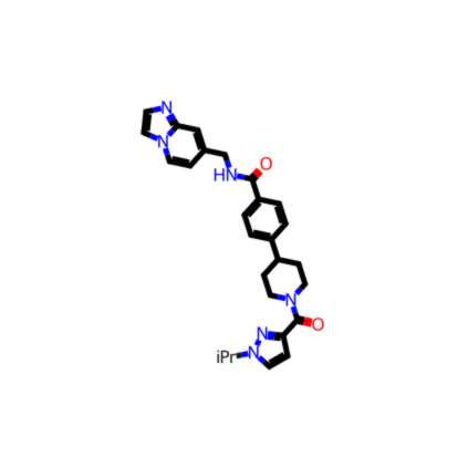 CC(C)n1ccc(C(=O)N2CCC(c3ccc(C(=O)NCc4ccn5ccnc5c4)cc3)CC2)n1